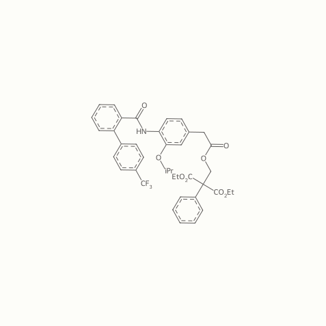 CCOC(=O)C(COC(=O)Cc1ccc(NC(=O)c2ccccc2-c2ccc(C(F)(F)F)cc2)c(OC(C)C)c1)(C(=O)OCC)c1ccccc1